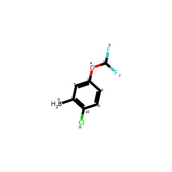 Bc1cc(OC(F)F)ccc1Cl